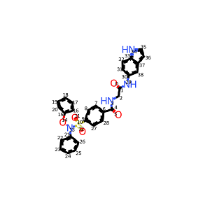 O=C(CNC(=O)c1ccc(S(=O)(=O)N(Oc2ccccc2)c2ccccc2)cc1)Nc1ccc2[nH]ccc2c1